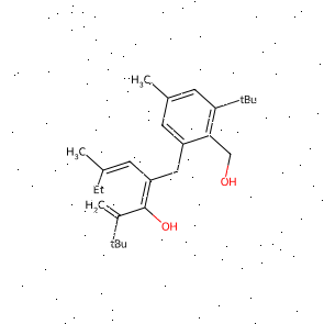 C=C(/C(O)=C(\C=C(\C)CC)Cc1cc(C)cc(C(C)(C)C)c1CO)C(C)(C)C